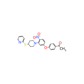 CC(=O)c1ccc(Oc2ccc([N+](=O)[O-])c(N3CCC(Sc4ccccn4)CC3)c2)cc1